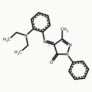 CCN(CC)c1ccccc1/N=C1/C(=O)N(c2ccccc2)N=C1C